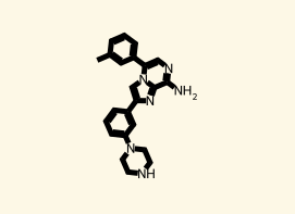 Cc1cccc(-c2cnc(N)c3nc(-c4cccc(N5CCNCC5)c4)cn23)c1